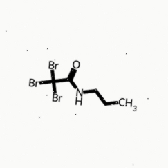 CCCNC(=O)C(Br)(Br)Br